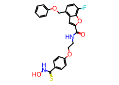 O=C(NCCOc1ccc(C(=S)NO)cc1)c1cc2c(COc3ccccc3)ccc(F)c2o1